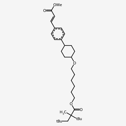 COC(=O)/C=C/c1ccc(C2CCC(OCCCCCCOC(=O)C(C)(CC(C)(C)C)C(C)(C)C)CC2)cc1